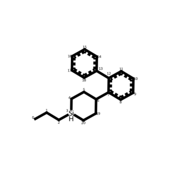 CCC[SiH]1CCC(c2ccccc2-c2ccccc2)CC1